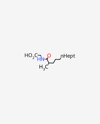 CCCCCCCCCCC(C)C(=O)NCC(=O)O